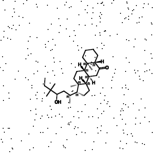 CCC(C)(C)C(O)C[C@@H](C)[C@H]1CC[C@H]2[C@@H]3CC(=O)[C@H]4CCCC[C@]4(C)[C@H]3CC[C@]12C